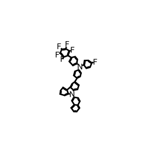 Fc1ccc(N(c2ccc(-c3ccc4c(c3)c3ccccc3n4-c3ccc4ccccc4c3)cc2)c2ccc(-c3c(F)c(F)c(F)c(F)c3F)cc2)cc1